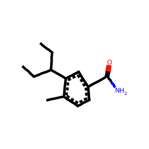 CCC(CC)c1cc(C(N)=O)ccc1C